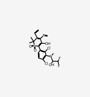 C=CC1=C(N=C)C(O)=C(c2ccc(Cl)c(N(C)C(O)C(F)F)c2Cl)S(=O)(=O)C1(C)C